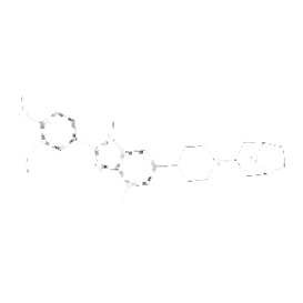 COc1ccc(-c2nc3c(C)cc(C4CCN(C5CC6CCC(C5)N6)CC4)cc3n2C)cc1OC